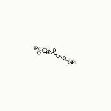 CC(C)OCCOCCOCCC(=O)NC[C@H]1CC[C@H](C(=O)C(C)C)CC1